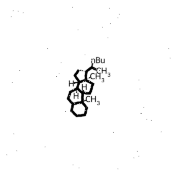 CCCC[C@@H](C)[C@H]1CC[C@H]2[C@@H]3CCC4CCCC[C@]4(C)[C@H]3CC[C@]12C